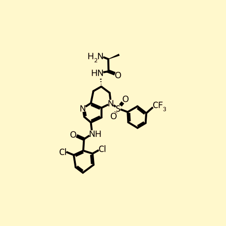 C[C@H](N)C(=O)N[C@H]1Cc2ncc(NC(=O)c3c(Cl)cccc3Cl)cc2N(S(=O)(=O)c2cccc(C(F)(F)F)c2)C1